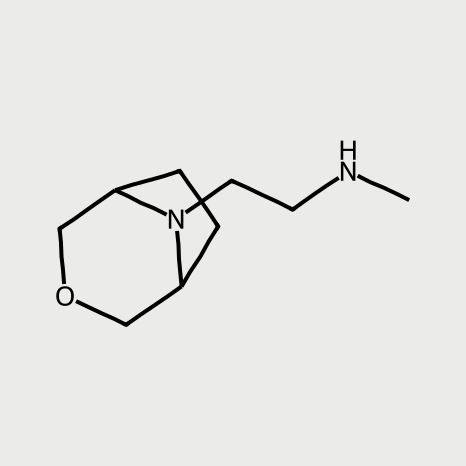 CNCCN1C2CCC1COC2